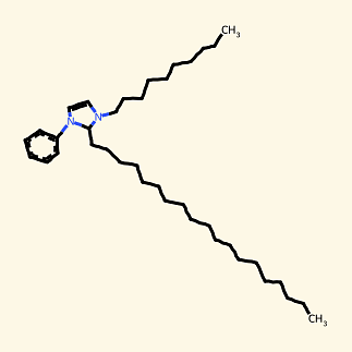 CCCCCCCCCCCCCCCCCCCC1N(CCCCCCCCCC)C=CN1c1ccccc1